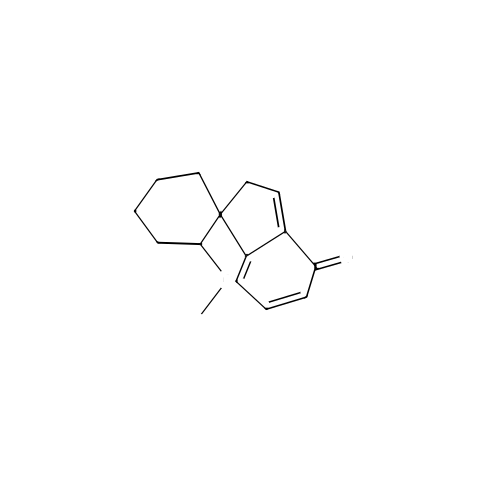 COC1CCCCC12CC=C1C(=O)C=CC=C12